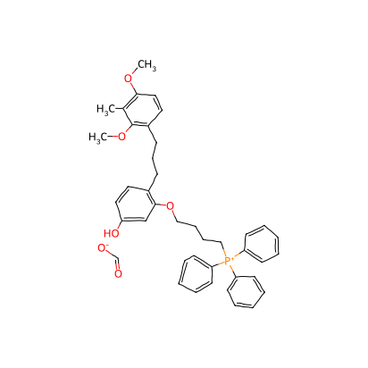 COc1ccc(CCCc2ccc(O)cc2OCCCC[P+](c2ccccc2)(c2ccccc2)c2ccccc2)c(OC)c1C.O=C[O-]